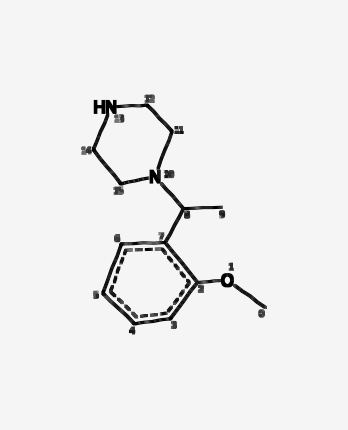 COc1ccccc1C(C)N1CCNCC1